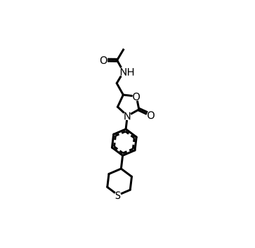 CC(=O)NCC1CN(c2ccc(C3CCSCC3)cc2)C(=O)O1